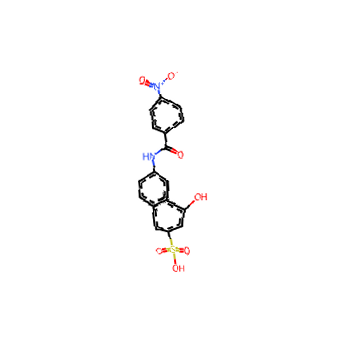 O=C(Nc1ccc2cc(S(=O)(=O)O)cc(O)c2c1)c1ccc([N+](=O)[O-])cc1